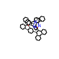 CN1C(c2ccccc2)=NC(c2c(-c3ccc4c(c3)C3(c5ccccc5-4)c4ccccc4-c4c3c3ccccc3c3ccccc43)c3ccccc3c3ccccc23)=NC1c1ccccc1